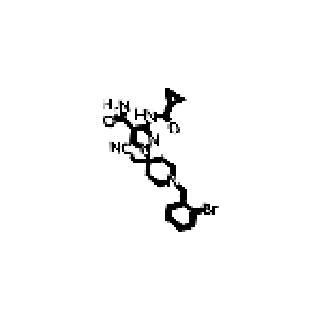 N#CCC1(n2cc(C(N)=O)c(NC(=O)C3CC3)n2)CCN(Cc2ccccc2Br)CC1